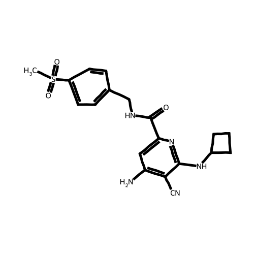 CS(=O)(=O)c1ccc(CNC(=O)c2cc(N)c(C#N)c(NC3CCC3)n2)cc1